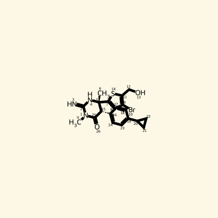 CN1C(=N)N[C@](C)(c2cc(Br)c(CO)s2)[C@H](c2ccc(C3CC3)cc2)C1=O